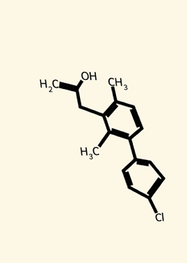 C=C(O)Cc1c(C)ccc(-c2ccc(Cl)cc2)c1C